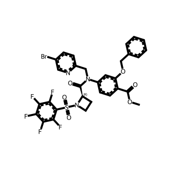 COC(=O)c1ccc(N(Cc2ccc(Br)cn2)C(=O)[C@H]2CCN2S(=O)(=O)c2c(F)c(F)c(F)c(F)c2F)cc1OCc1ccccc1